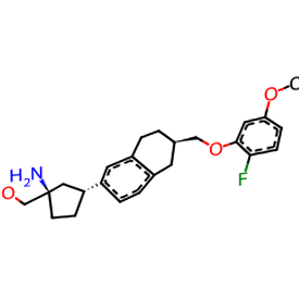 COc1ccc(F)c(OC[C@@H]2CCc3cc([C@@H]4CC[C@](N)(CO)C4)ccc3C2)c1